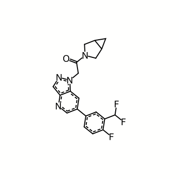 O=C(Cn1ncc2ncc(-c3ccc(F)c(C(F)F)c3)cc21)N1CC2CC2C1